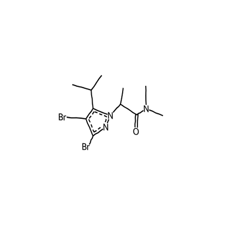 CC(C)c1c(Br)c(Br)nn1C(C)C(=O)N(C)C